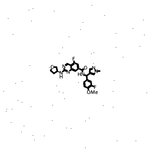 COc1ccc(C(NC(=O)c2cc(F)c3cnc(N[C@H]4CCOC4)nc3c2)c2cnn(C)c2)cc1F